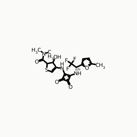 Cc1ccc([C@H](Nc2c(NC3=CSC(C(=O)N(C)C)C3O)c(=O)c2=O)C(F)(F)F)o1